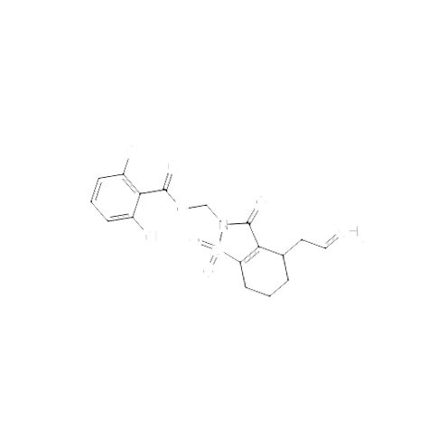 C=CCC1CCCC2=C1C(=O)N(COC(=O)c1c(Cl)cccc1Cl)S2(=O)=O